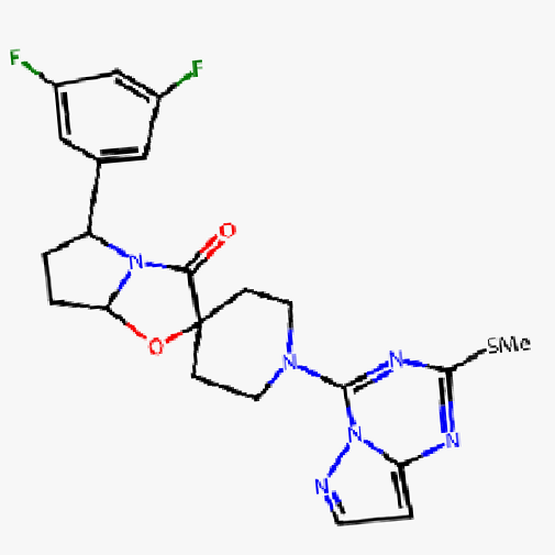 CSc1nc(N2CCC3(CC2)OC2CCC(c4cc(F)cc(F)c4)N2C3=O)n2nccc2n1